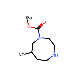 CC(C)(C)OC(=O)N1CCNCCC(C#N)C1